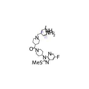 C=C(N)/C=C(\C=C/N)CN1CCC(C(=O)N2CCC(n3c(SC)nc4cc(F)cnc43)CC2)CC1